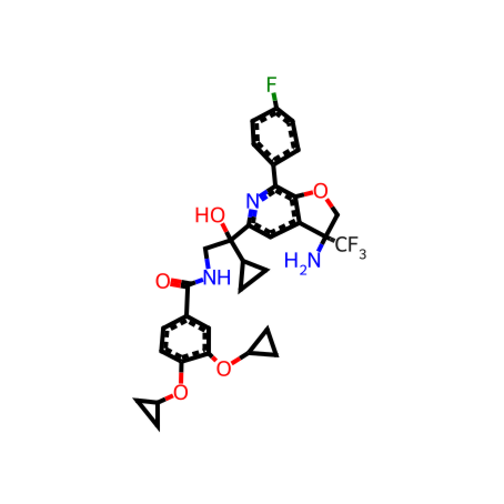 NC1(C(F)(F)F)COc2c1cc(C(O)(CNC(=O)c1ccc(OC3CC3)c(OC3CC3)c1)C1CC1)nc2-c1ccc(F)cc1